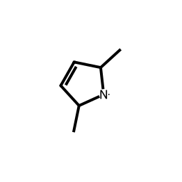 CC1C=CC(C)[N]1